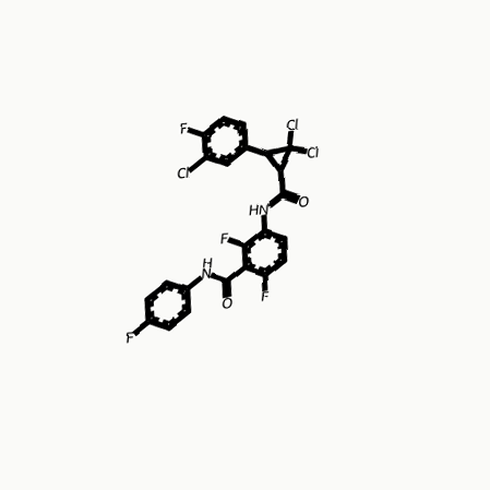 O=C(Nc1ccc(F)cc1)c1c(F)ccc(NC(=O)C2C(c3ccc(F)c(Cl)c3)C2(Cl)Cl)c1F